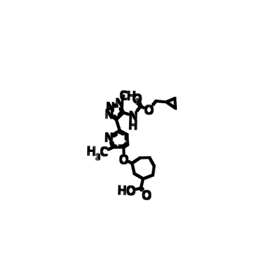 Cc1nc(-c2nnn(C)c2NC(=O)OCC2CC2)ccc1OC1CCCCC(C(=O)O)C1